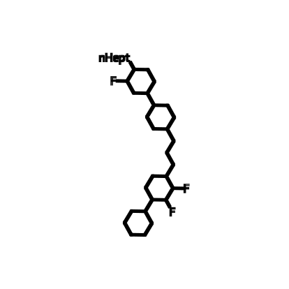 CCCCCCCC1CCC(C2CCC(CCCC3CCC(C4CCCCC4)C(F)C3F)CC2)CC1F